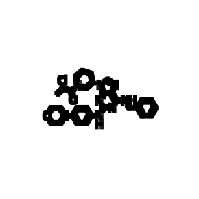 CC(Cl)C(=O)N1CCC[C@H](n2cnc3c(NCc4ccccc4)nc(Nc4ccc(N5CCOCC5)cc4)nc32)C1